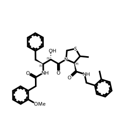 COc1ccccc1CC(=O)N[C@@H](Cc1ccccc1)[C@H](O)C(=O)N1CSC(C)[C@H]1C(=O)NCc1ccccc1C